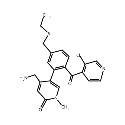 CCSCc1ccc(C(=O)c2ccncc2Cl)c(-c2cn(C)c(=O)cc2CN)c1